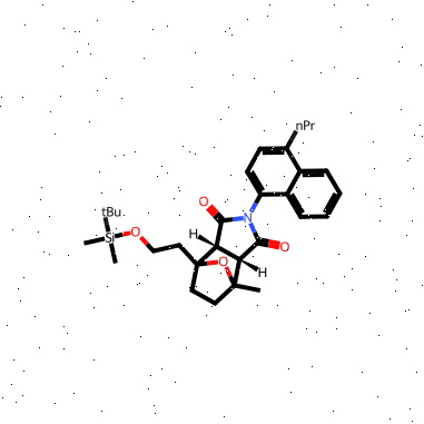 CCCc1ccc(N2C(=O)[C@@H]3[C@H](C2=O)C2(C)CCC3(CCO[Si](C)(C)C(C)(C)C)O2)c2ccccc12